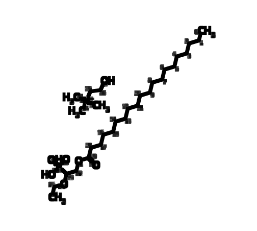 CCCCCCCCCCCCCCCCCCCC(=O)OCC(OCC)P(=O)(O)O.C[N+](C)(C)CCO